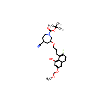 COCOc1cc(O)c2c(CCCOC3CC(C#N)CCN(C(=O)OC(C)(C)C)C3)c(F)ccc2c1